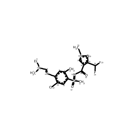 CCN(C)C=Nc1cc(C)c(S(C)(=O)=NC(=O)c2cn(C)nc2C(F)F)cc1Cl